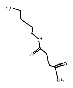 CCCCCNC(=O)CCC(C)=O